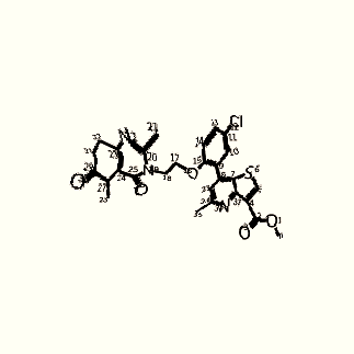 COC(=O)c1csc2c(-c3cc(Cl)ccc3OCCn3c(C)nc4c(c3=O)C(C)C(=O)CC4)cc(C)nc12